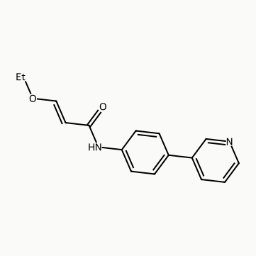 CCOC=CC(=O)Nc1ccc(-c2cccnc2)cc1